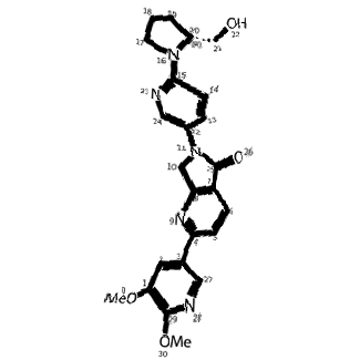 COc1cc(-c2ccc3c(n2)CN(c2ccc(N4CCC[C@@H]4CO)nc2)C3=O)cnc1OC